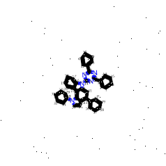 c1ccc(-c2nc(-c3ccccc3)nc(-n3c4ccccc4c4c5c(ccn5-c5ccccc5)c(-c5ccccc5)cc43)n2)cc1